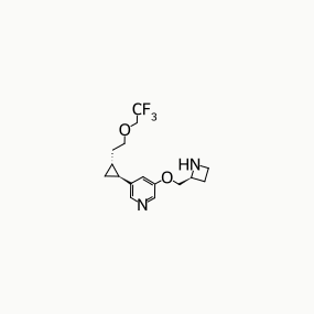 FC(F)(F)COCC[C@H]1C[C@@H]1c1cncc(OC[C@@H]2CCN2)c1